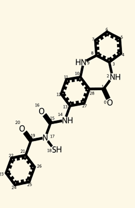 O=C1Nc2ccccc2Nc2ccc(NC(=O)N(S)C(=O)c3ccccc3)cc21